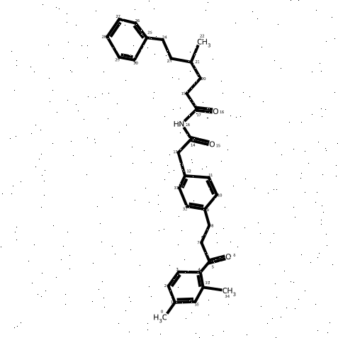 Cc1ccc(C(=O)CCc2ccc(CC(=O)NC(=O)CCC(C)CCc3ccccc3)cc2)c(C)c1